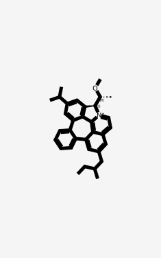 CCC(C)Cc1cc2c3c4[n+](ccc3c1)[C@H]([C@@H](C)OC)c1cc(C(C)C)cc(c1-4)-c1ccccc1-2